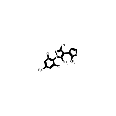 N#Cc1nn(-c2c(Cl)cc(C(F)(F)F)cc2Cl)c(N)c1-c1ccsc1C(F)(F)F